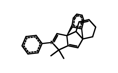 CC1(C)C2=CC34CCC=CC3[C@]2(C=[N+]1c1ccccc1)c1ccccc14